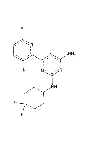 Nc1nc(NC2CCC(F)(F)CC2)nc(-c2nc(F)ccc2F)n1